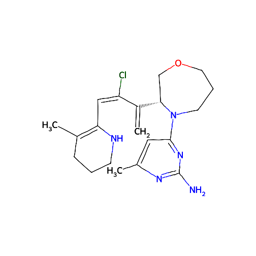 C=C(/C(Cl)=C\C1=C(C)CCCN1)[C@@H]1COCCCN1c1cc(C)nc(N)n1